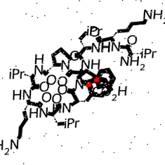 CC(C)C[C@H](NC(=O)[C@H](CCCCN)NC(=O)[C@@H](NC(=O)[C@@H]1CCCN1C(=O)[C@H](Cc1ccccc1)NC(=O)[C@H](CC(C)C)NC(=O)[C@H](CCCCN)NC(=O)[C@@H](N)C(C)C)C(C)C)C(=O)N[C@@H](Cc1ccccc1)C(=O)N1CCC[C@H]1C(=O)O